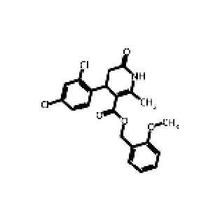 COc1ccccc1COC(=O)C1=C(C)NC(=O)CC1c1ccc(Cl)cc1Cl